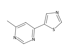 Cc1cc(-c2cncs2)ncn1